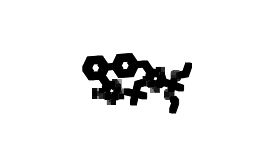 CCOC(C)(OCC)c1nc(Cc2ccc(-c3ccccc3-c3nnn[nH]3)cc2)n(CC(C)(C)C)n1